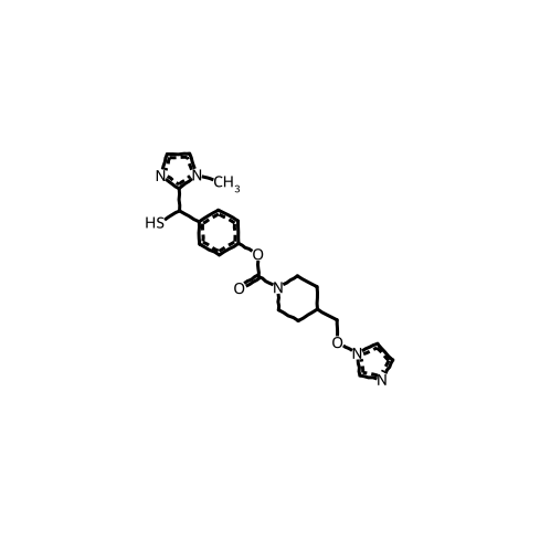 Cn1ccnc1C(S)c1ccc(OC(=O)N2CCC(COn3ccnc3)CC2)cc1